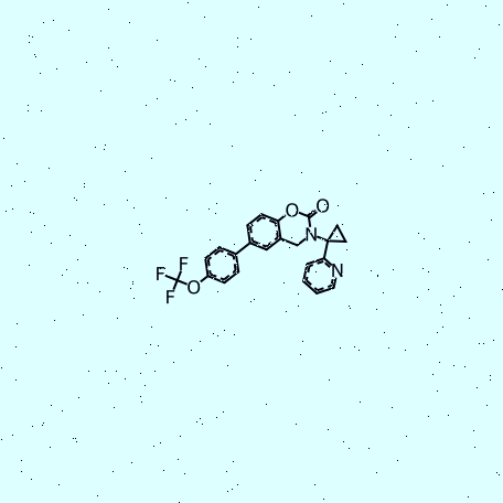 O=C1Oc2ccc(-c3ccc(OC(F)(F)F)cc3)cc2CN1C1(c2ccccn2)CC1